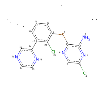 Nc1nc(Cl)cnc1Sc1cccc(-c2cnccn2)c1Cl